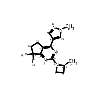 C[C@H]1CCN1c1nc(-c2cnn(C)c2)c2c(n1)C(F)(F)CC2